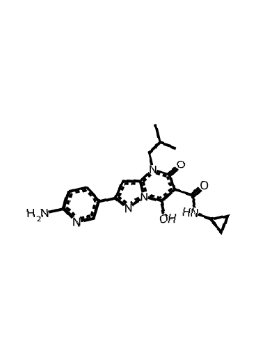 CC(C)Cn1c(=O)c(C(=O)NC2CC2)c(O)n2nc(-c3ccc(N)nc3)cc12